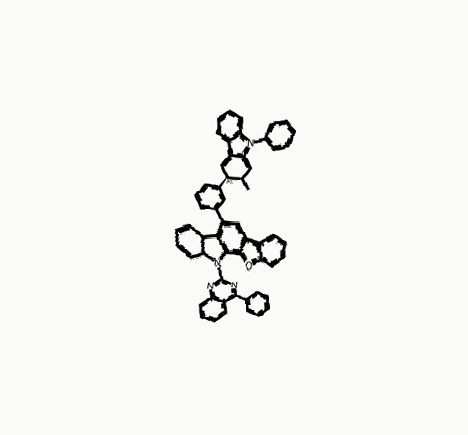 CC1C=c2c(c3ccccc3n2-c2ccccc2)=C[C@@H]1c1cccc(-c2cc3c(oc4ccccc43)c3c2C2C=CC=CC2N3c2nc(-c3ccccc3)c3ccccc3n2)c1